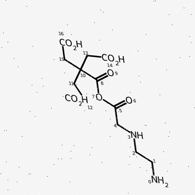 NCCNCC(=O)OC(=O)C(CC(=O)O)(CC(=O)O)CC(=O)O